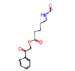 O=[C]NCCCCC(=O)OCC(=O)c1ccccc1